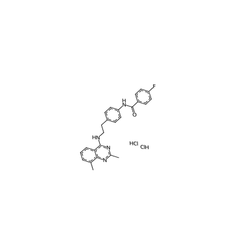 Cc1nc(NCCc2ccc(NC(=O)c3ccc(F)cc3)cc2)c2cccc(C)c2n1.Cl.Cl